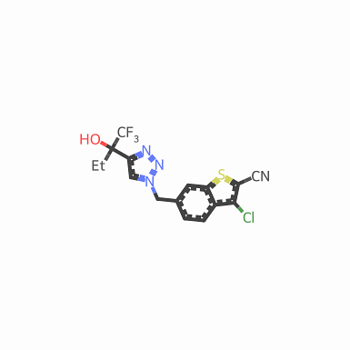 CCC(O)(c1cn(Cc2ccc3c(Cl)c(C#N)sc3c2)nn1)C(F)(F)F